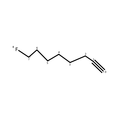 [C]#CCCCCC[CH]F